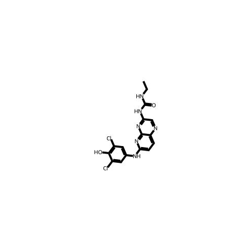 CCNC(=O)Nc1cnc2ccc(Nc3cc(Cl)c(O)c(Cl)c3)nc2n1